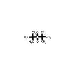 CC(C)(C(F)(F)F)S(=O)(=O)C(C)(C)C(F)(F)F